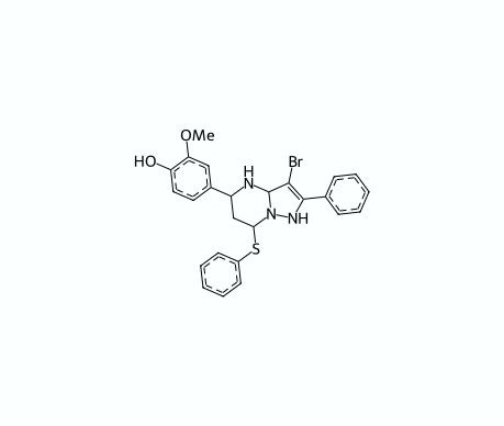 COc1cc(C2CC(Sc3ccccc3)N3NC(c4ccccc4)=C(Br)C3N2)ccc1O